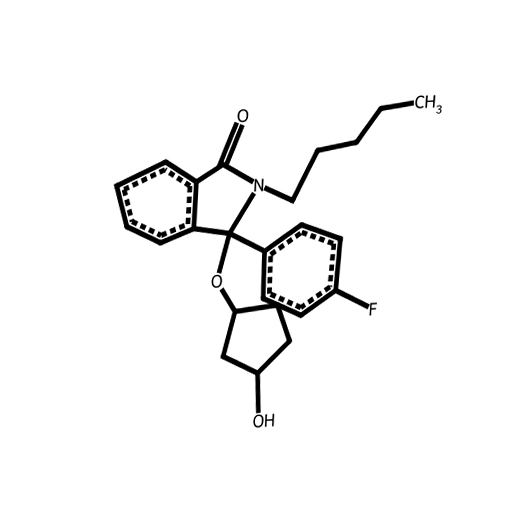 CCCCCN1C(=O)c2ccccc2C1(OC1CCC(O)C1)c1ccc(F)cc1